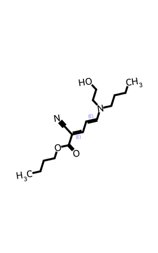 CCCCOC(=O)/C(C#N)=C/C=C/N(CCO)CCCC